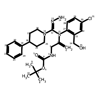 C=C(CNC(=O)OC(C)(C)C)N(/C(=N\N)N1CCC(c2ccccc2)CC1)c1ccc(Cl)cc1CO